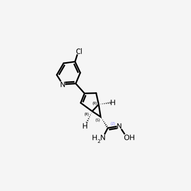 N/C(=N\O)[C@@H]1[C@H]2C=C(c3cc(Cl)ccn3)C[C@H]21